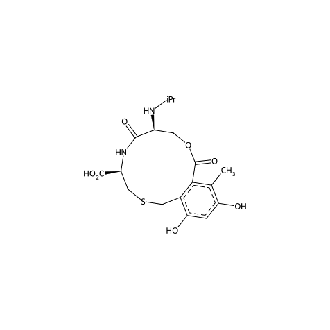 Cc1c(O)cc(O)c2c1C(=O)OC[C@H](NC(C)C)C(=O)N[C@H](C(=O)O)CSC2